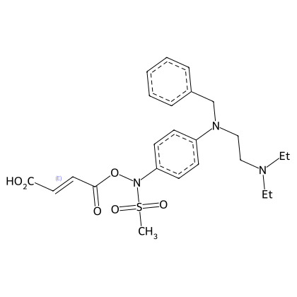 CCN(CC)CCN(Cc1ccccc1)c1ccc(N(OC(=O)/C=C/C(=O)O)S(C)(=O)=O)cc1